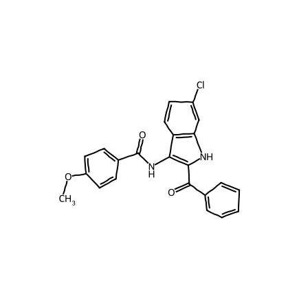 COc1ccc(C(=O)Nc2c(C(=O)c3ccccc3)[nH]c3cc(Cl)ccc23)cc1